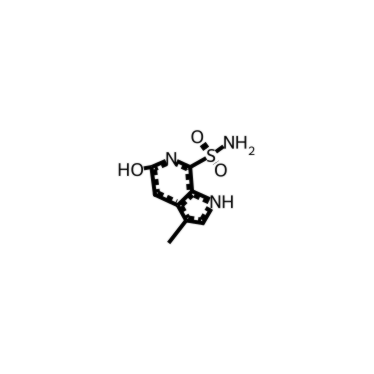 Cc1c[nH]c2c(S(N)(=O)=O)nc(O)cc12